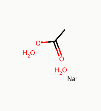 CC(=O)[O-].O.O.[Na+]